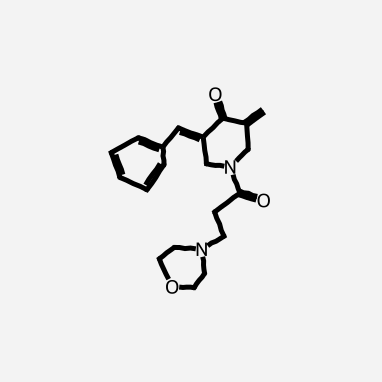 C=C1CN(C(=O)CCN2CCOCC2)C/C(=C\c2ccccc2)C1=O